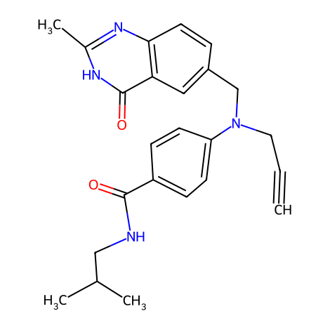 C#CCN(Cc1ccc2nc(C)[nH]c(=O)c2c1)c1ccc(C(=O)NCC(C)C)cc1